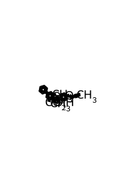 CC#CCOc1ccc(S(=O)(=O)N(C)c2c(C)cc(-c3ccccc3)cc2C(=O)O)cc1